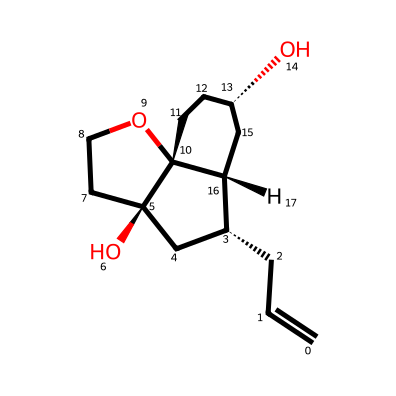 C=CC[C@@H]1C[C@]2(O)CCO[C@@]23CC[C@H](O)C[C@H]13